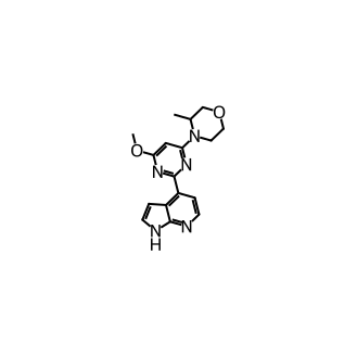 COc1cc(N2CCOCC2C)nc(-c2ccnc3[nH]ccc23)n1